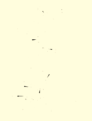 COc1ccc2c3c1O[C@H]1C(OC(=O)[C@H](O)[C@@H](OC(C)=O)C(=O)O[C@@H](C)C(=O)O)=CC[C@@]4(O)[C@@H](C2)N(C)CC[C@]314